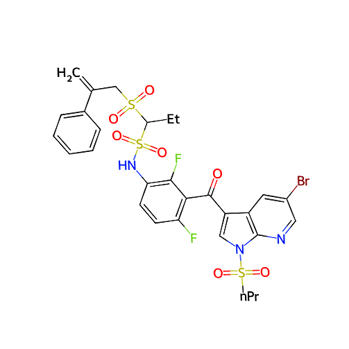 C=C(CS(=O)(=O)C(CC)S(=O)(=O)Nc1ccc(F)c(C(=O)c2cn(S(=O)(=O)CCC)c3ncc(Br)cc23)c1F)c1ccccc1